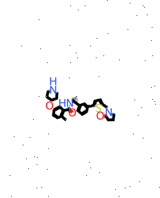 Cc1ccc(OC2CCNCC2)cc1C(=O)N[C@H](C)c1cccc(-c2ccc(CN3CCCC3=O)s2)c1